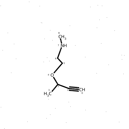 C#CC(C)OCCNC